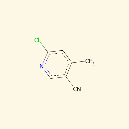 N#Cc1cnc(Cl)cc1C(F)(F)F